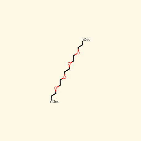 CCCCCCCCCCCCOCCOCCOCCOCCCCCCCCCCCC